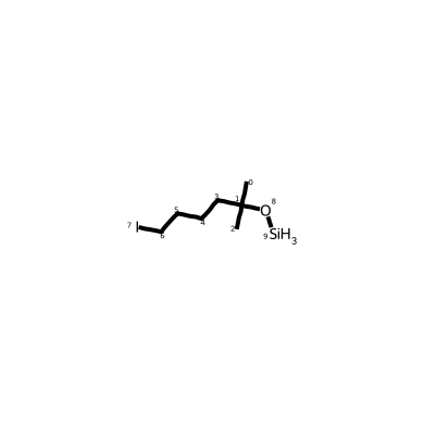 CC(C)(CCCCI)O[SiH3]